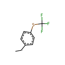 C[CH]c1ccc(SC(F)(F)F)cc1